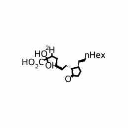 [2H]C(C/C=C\C[C@H]1C(=O)CC[C@@H]1/C=C/CCCCCC)C(O)(O)C(=O)O